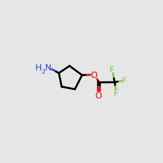 NC1CCC(OC(=O)C(F)(F)F)C1